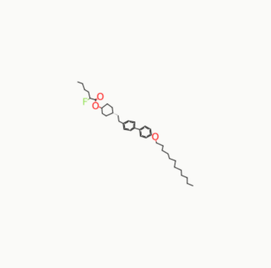 CCCCCCCCCCCCOc1ccc(-c2ccc(CC[C@H]3CC[C@H](OC(=O)[C@@H](F)CCCC)CC3)cc2)cc1